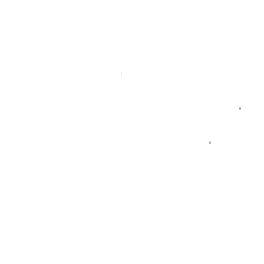 CCCOc1c(OC)cc(OB(O)O)cc1OC